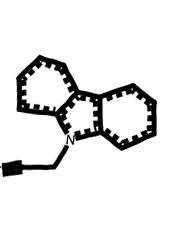 C#CCn1c2ccccc2c2ccccc21